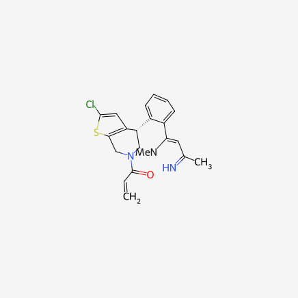 C=CC(=O)N1Cc2sc(Cl)cc2[C@H](c2ccccc2/C(=C/C(C)=N)NC)C1